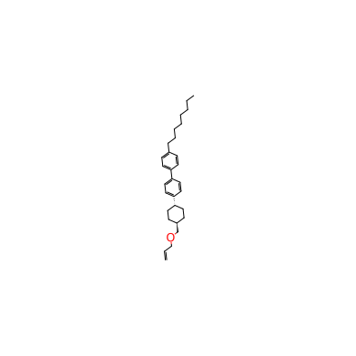 C=CCOC[C@H]1CC[C@H](c2ccc(-c3ccc(CCCCCCCC)cc3)cc2)CC1